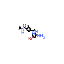 Cc1cc(-c2cnc3c(N)cc(Br)cn23)ccc1C(=O)NC1CC1